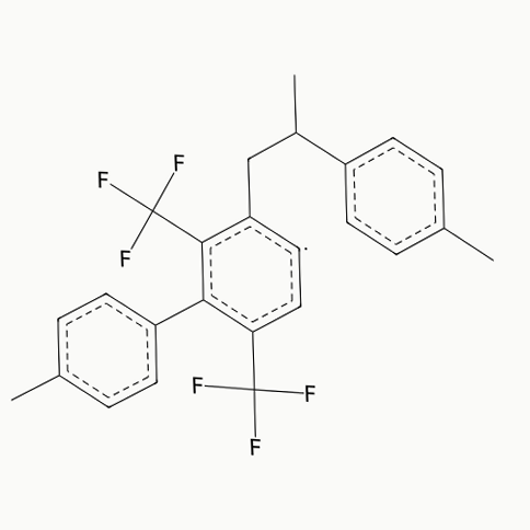 Cc1ccc(-c2c(C(F)(F)F)c[c]c(CC(C)c3ccc(C)cc3)c2C(F)(F)F)cc1